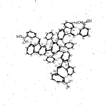 OB(O)c1cccc(/C=C2\c3ccccc3-c3ccc(-c4c(-c5ccccc5)c(-c5ccc6c(c5)/C(=C/c5cccc(B(O)O)c5)c5ccccc5-6)c(-c5ccccc5)c(-c5ccc6c(c5)/C(=C/c5cccc(B(O)O)c5)c5ccccc5-6)c4-c4ccccc4)cc32)c1